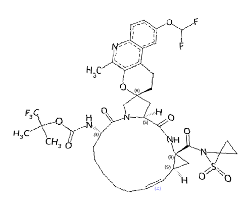 Cc1nc2ccc(OC(F)F)cc2c2c1O[C@]1(CC2)C[C@H]2C(=O)N[C@]3(C(=O)N4C5(CC5)S4(=O)=O)C[C@H]3/C=C\CCCCC[C@H](NC(=O)OC(C)(C)C(F)(F)F)C(=O)N2C1